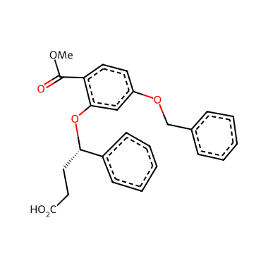 COC(=O)c1ccc(OCc2ccccc2)cc1O[C@@H](CCC(=O)O)c1ccccc1